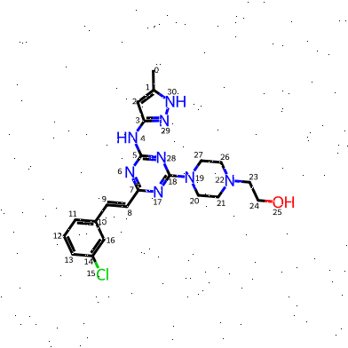 Cc1cc(Nc2nc(/C=C/c3cccc(Cl)c3)nc(N3CCN(CCO)CC3)n2)n[nH]1